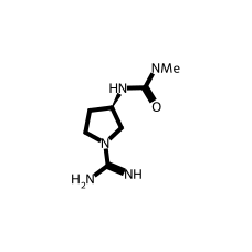 CNC(=O)N[C@@H]1CCN(C(=N)N)C1